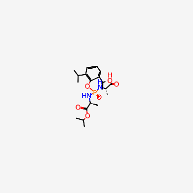 CC(C)OC(=O)[C@H](C)NP(=O)(N[C@@H](C)C(=O)O)Oc1c(C(C)C)cccc1C(C)C